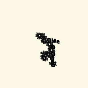 CCC1(COCCOc2cc3oc4cc(OC)c(-c5ccc6c(c5)C(C)(C)c5ccccc5-6)cc4c3cc2-c2ccc3c(c2)C(C)(C)c2ccccc2-3)COC1